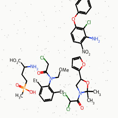 CC1(C)OC(c2ccco2)CN1C(=O)C(Cl)Cl.CCc1cccc(CC)c1N(COC)C(=O)CCl.CP(=O)(O)CCC(N)C(=O)O.Nc1c([N+](=O)[O-])ccc(Oc2ccccc2)c1Cl